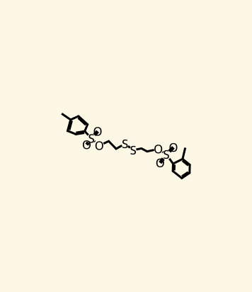 Cc1ccc(S(=O)(=O)OCCSSCCOS(=O)(=O)c2ccccc2C)cc1